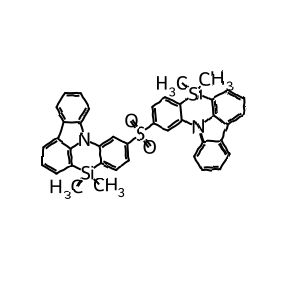 C[Si]1(C)c2ccc(S(=O)(=O)c3ccc4c(c3)-n3c5ccccc5c5cccc(c53)[Si]4(C)C)cc2-n2c3ccccc3c3cccc1c32